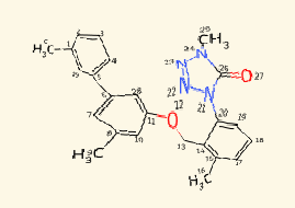 Cc1cccc(-c2cc(C)cc(OCc3c(C)cccc3-n3nnn(C)c3=O)c2)c1